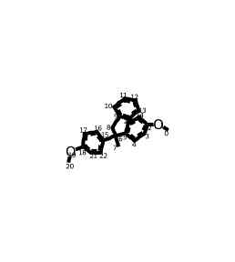 COc1ccc(C(C)(Cc2ccccc2)c2ccc(OC)cc2)cc1